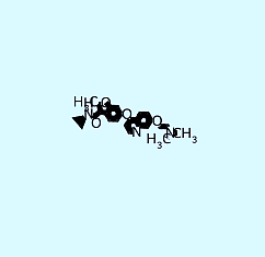 CC1Oc2cc(Oc3ccnc4cc(OCCN(C)C)ccc34)ccc2C1C(=O)NC1CC1